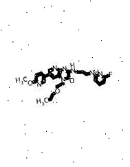 CCCOCCn1c(=O)c(NCCCNc2cccc(F)n2)nc2ncc(-c3ccc(OC)nc3)cc21